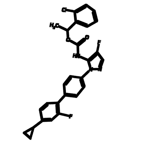 CC(OC(=O)Nc1c(F)cnn1-c1ccc(-c2ccc(C3CC3)cc2F)cc1)c1ccccc1Cl